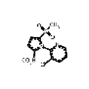 CS(=O)(=O)c1ccc(C(=O)O)n1-c1ncccc1Cl